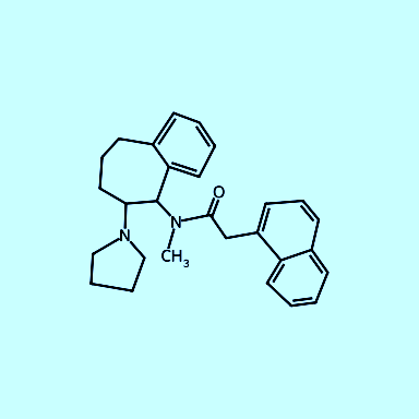 CN(C(=O)Cc1cccc2ccccc12)C1c2ccccc2CCCC1N1CCCC1